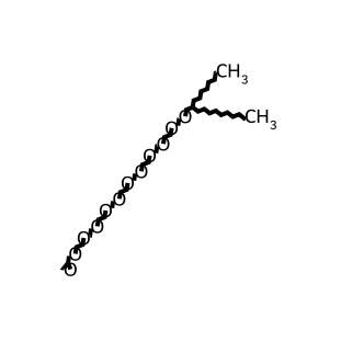 CCCCCCCCCCC(CCCCCCCC)COCCOCCOCCOCCOCCOCCOCCOCCOCCOCCOCC1CO1